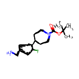 CC(C)(C)OC(=O)N1CCC(c2ccc(CN)cc2F)CC1